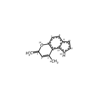 C=C1C=C(C)c2c(ccc3cc[nH]c23)O1